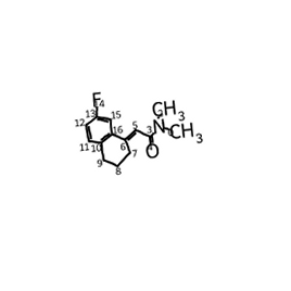 CN(C)C(=O)C=C1CCCc2ccc(F)cc21